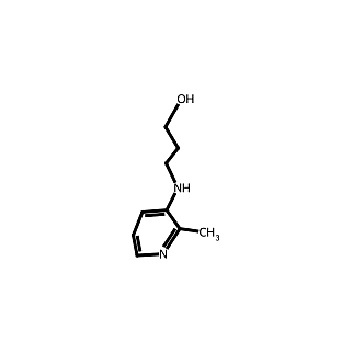 Cc1ncccc1NCCCO